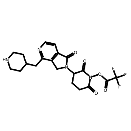 O=C1CCC(N2Cc3c(ccnc3CC3CCNCC3)C2=O)C(=O)N1OC(=O)C(F)(F)F